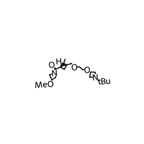 COC1CN(C(=O)C23CC(COCCOC4CN(C(C)(C)C)C4)(C2)[C@H]3C)C1